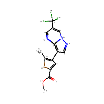 COC(=O)c1cc(-c2cnn3cc(C(F)(F)F)cnc23)c(C)s1